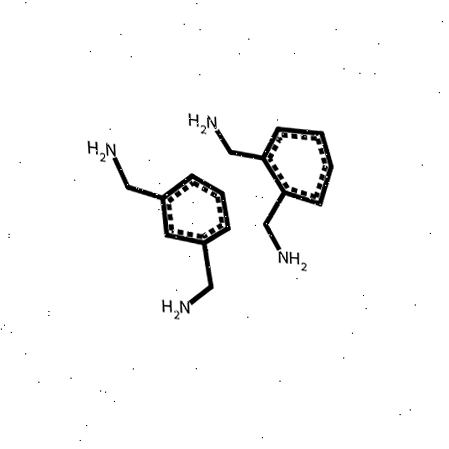 NCc1cccc(CN)c1.NCc1ccccc1CN